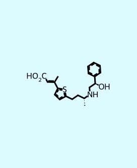 C/C(=C\C(=O)O)c1ccc(CC[C@@H](C)NC[C@H](O)c2ccccc2)s1